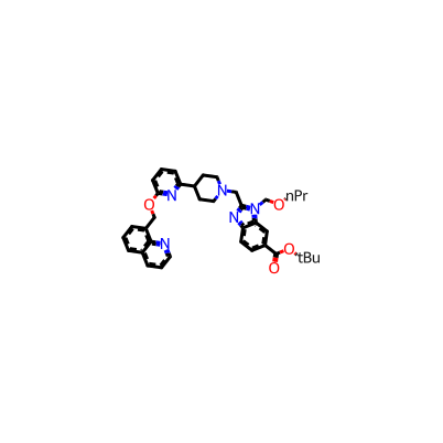 CCCOCn1c(CN2CCC(c3cccc(OCc4cccc5cccnc45)n3)CC2)nc2ccc(C(=O)OC(C)(C)C)cc21